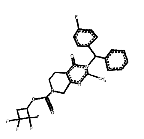 Cc1nc2c(c(=O)n1C(c1ccccc1)c1ccc(F)cc1)CCN(C(=O)OC1CC(F)(F)C1(F)F)C2